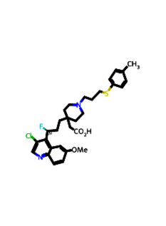 COc1ccc2ncc(Cl)c([C@@H](F)CCC3(CC(=O)O)CCN(CCCSc4ccc(C)cc4)CC3)c2c1